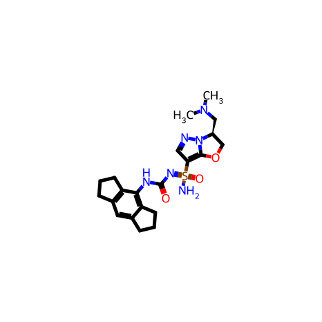 CN(C)C[C@H]1COc2c(S(N)(=O)=NC(=O)Nc3c4c(cc5c3CCC5)CCC4)cnn21